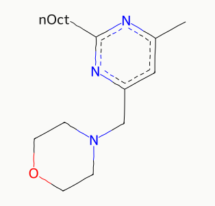 CCCCCCCCc1nc(C)cc(CN2CCOCC2)n1